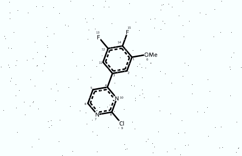 COc1cc(-c2ccnc(Cl)n2)cc(F)c1F